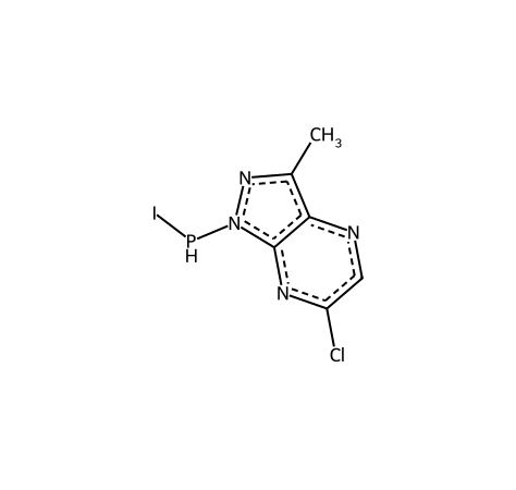 Cc1nn(PI)c2nc(Cl)cnc12